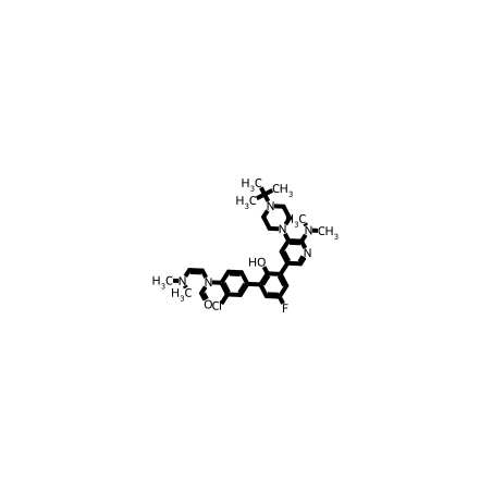 CN(C)/C=C\N(C=O)c1ccc(-c2cc(F)cc(-c3cnc(N(C)C)c(N4CCN(C(C)(C)C)CC4)c3)c2O)cc1Cl